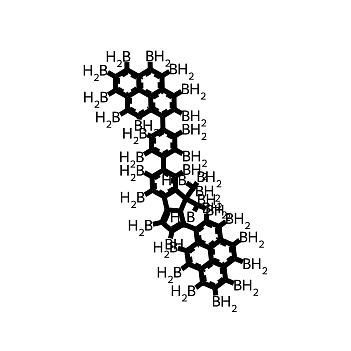 BC1=C2c3c(B)c(B)c(-c4c(B)c(B)c(-c5c(B)c(B)c6c(B)c(B)c7c(B)c(B)c(B)c8c(B)c(B)c5c6c78)c(B)c4B)c(B)c3C(C(B)(B)B)(C(B)(B)B)C2C(c2c(B)c(B)c3c(B)c(B)c4c(B)c(B)c(B)c5c(B)c(B)c2c3c45)=C1B